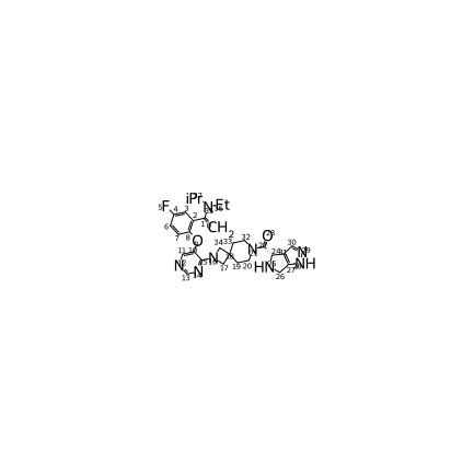 C=C(c1cc(F)ccc1Oc1cncnc1N1CC2(CCN(C(=O)[C@H]3NCc4[nH]ncc43)CC2)C1)N(CC)C(C)C